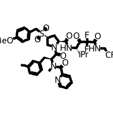 COc1ccc(CS(=O)(=O)[C@@H]2C[C@@H](C(=O)N[C@H](C(=O)C(F)(F)C(=O)NCC(F)(F)F)C(C)C)N(C(=O)[C@H](Cc3cccc(C)c3)N(C)C(=O)c3ccccn3)C2)cc1